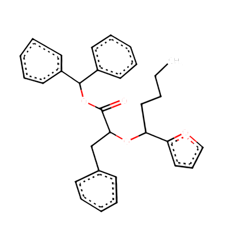 CCCCC(OC(Cc1ccccc1)C(=O)OC(c1ccccc1)c1ccccc1)c1ccco1